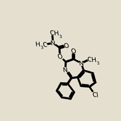 CN(C)C(=O)OC1N=C(c2ccccc2)c2cc(Cl)ccc2N(C)C1=O